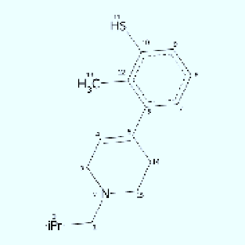 C[C](C)CN1CC=C(c2cccc(S)c2C)CC1